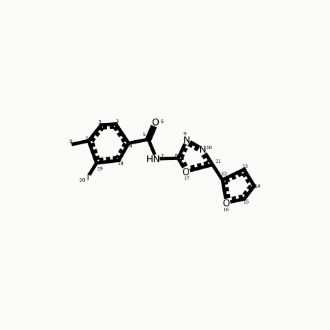 Cc1ccc(C(=O)Nc2nnc(-c3ccco3)o2)cc1I